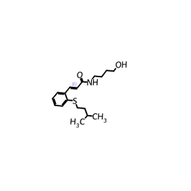 CC(C)CCSc1ccccc1/C=C/C(=O)NCCCCO